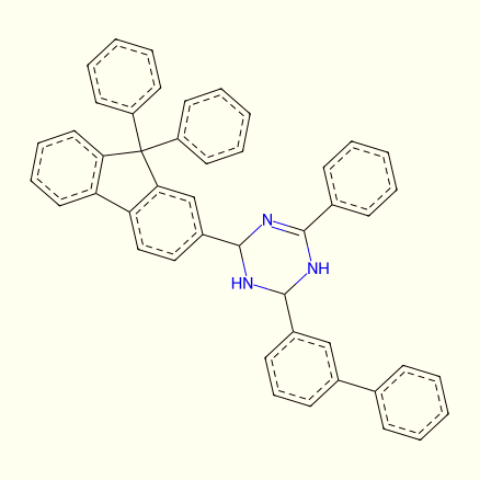 c1ccc(C2=NC(c3ccc4c(c3)C(c3ccccc3)(c3ccccc3)c3ccccc3-4)NC(c3cccc(-c4ccccc4)c3)N2)cc1